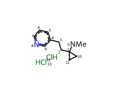 CNC1(CCc2cccnc2)CC1.Cl.Cl